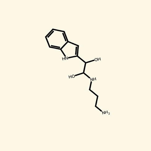 NCCCNC(O)C(O)c1cc2ccccc2[nH]1